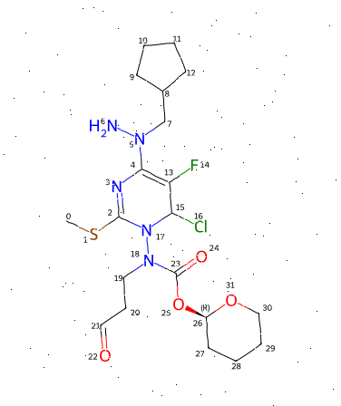 CSC1=NC(N(N)CC2CCCC2)=C(F)C(Cl)N1N(CCC=O)C(=O)O[C@@H]1CCCCO1